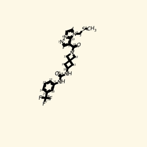 CSCn1ccn2ncc(C(=O)N3CC4(CC(NC(=O)Nc5cccc(C(F)(F)F)c5)C4)C3)c12